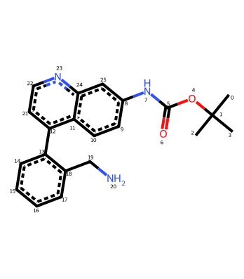 CC(C)(C)OC(=O)Nc1ccc2c(-c3ccccc3CN)ccnc2c1